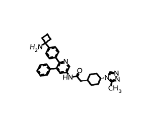 Cc1nncn1[C@H]1CC[C@H](CC(=O)Nc2cnc(-c3ccc(C4(N)CCC4)cc3)c(-c3ccccc3)c2)CC1